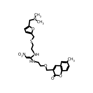 Cc1ccc2oc(=O)c(COCCNC(=C[N+](=O)[O-])NCCSCc3ccc(CN(C)C)o3)cc2c1